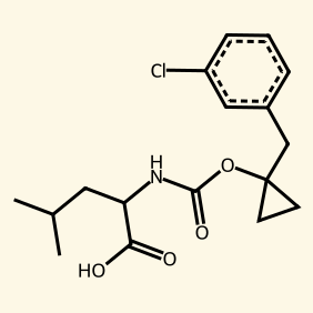 CC(C)CC(NC(=O)OC1(Cc2cccc(Cl)c2)CC1)C(=O)O